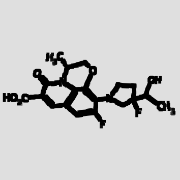 CC(O)C1(F)CCN(c2c(F)cc3cc(C(=O)O)c(=O)n4c3c2OC[C@@H]4C)C1